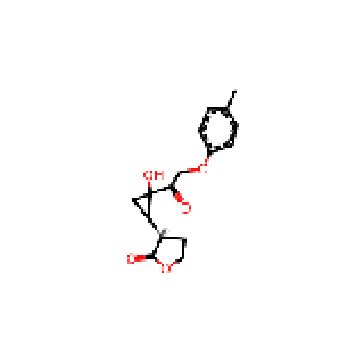 Cc1ccc(OCC(=O)C2(O)CC2[C@H]2CCOC2=O)cc1